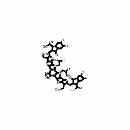 [C-]#[N+]C([N+]#[C-])=C1/C(=C/c2sc3c(sc4c5c6nsnc6c6c7sc8c(CCCCCCCCCCC)c(/C=C9\C(=O)c%10cc(Cl)c(Cl)cc%10C9=C(C#N)C#N)sc8c7n(CC(CC)CCCC)c6c5n(CC(CC)CCCC)c34)c2CCCCCCCCCCC)C(=O)c2cc(Cl)c(Cl)cc21